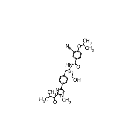 CC(C)Oc1ccc(C(=O)N[C@H](CCO)Cc2ccc(-c3cn(C)c(C(=O)C(C)C)n3)cc2)cc1C#N